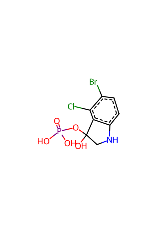 O=P(O)(O)OC1(O)CNc2ccc(Br)c(Cl)c21